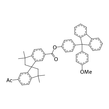 COc1ccc(C2(c3ccc(OC(=O)c4ccc5c(c4)C4(CC(C)(C)c6ccc(C(C)=O)cc64)CC5(C)C)cc3)c3ccccc3-c3ccccc32)cc1